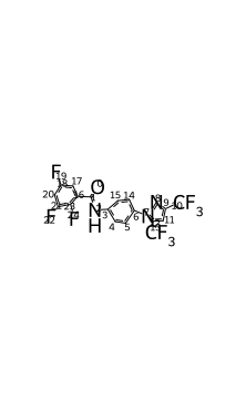 O=C(Nc1ccc(-n2nc(C(F)(F)F)cc2C(F)(F)F)cc1)c1cc(F)cc(F)c1F